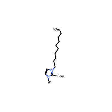 CCCCCCCCCCCCCCCCCCC[n+]1ccn(C(C)C)c1CCCCC